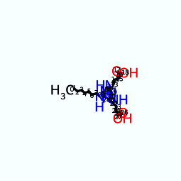 CCCCCCCCNc1nc(NCCCC(=O)O)nc(NCCCC(=O)O)n1